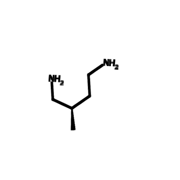 C[C@@H](CN)CCN